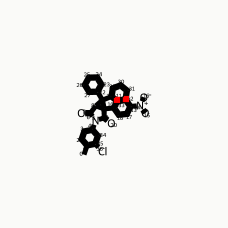 Cc1ccc(N2C(=O)C3C(c4ccc([N+](=O)[O-])cc4)(C2=O)C3(c2ccccc2)c2ccccc2)cc1Cl